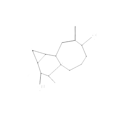 CC1CC2C(CCCC1O)C(C)[C@@](C)(O)C1CC21